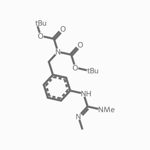 CN=C(NC)Nc1cccc(CN(C(=O)OC(C)(C)C)C(=O)OC(C)(C)C)c1